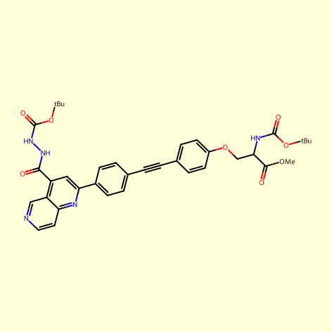 COC(=O)C(COc1ccc(C#Cc2ccc(-c3cc(C(=O)NNC(=O)OC(C)(C)C)c4cnccc4n3)cc2)cc1)NC(=O)OC(C)(C)C